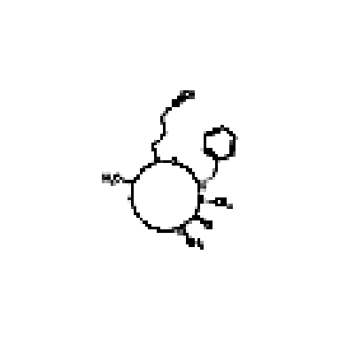 C#CCCCC1CC(C)CCCC[C@H](C)C(=O)N(C)[C@@H](Cc2ccccc2)CO1